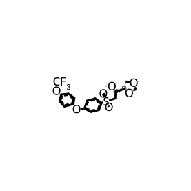 [O][C@H](CS(=O)(=O)c1ccc(Oc2ccc(OC(F)(F)F)cc2)cc1)[C@@H]1COCO1